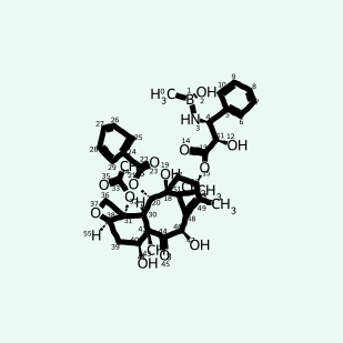 CB(O)N[C@@H](c1ccccc1)[C@@H](O)C(=O)O[C@H]1C[C@@]2(O)[C@@H](OC(=O)c3ccccc3)[C@@H]3[C@]4(OC(C)=O)CO[C@@H]4C[C@H](O)[C@@]3(C)C(=O)[C@H](O)C(=C1C)C2(C)C